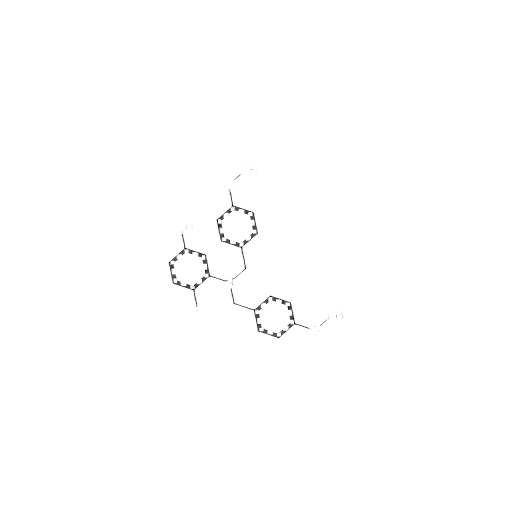 COc1ccc(CN(Cc2ccc(OC)cc2)c2cc(C)ccc2F)cc1